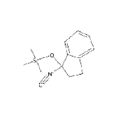 [C-]#[N+]C1(O[Si](C)(C)C)CCc2ccccc21